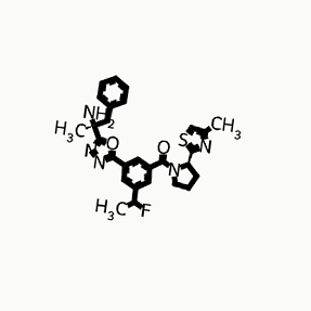 Cc1csc([C@H]2CCCN2C(=O)c2cc(-c3nnc([C@@](C)(N)Cc4ccccc4)o3)cc(C(C)F)c2)n1